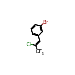 FC(F)(F)C(Cl)=Cc1cccc(Br)c1